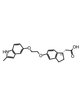 Cc1cc2cc(OCCOc3ccc4c(c3)CC[C@H]4CC(=O)O)ccc2[nH]1